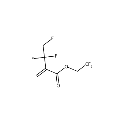 C=C(C(=O)OCC(F)(F)F)C(F)(F)CF